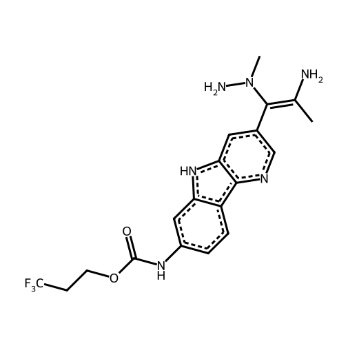 C/C(N)=C(\c1cnc2c(c1)[nH]c1cc(NC(=O)OCCC(F)(F)F)ccc12)N(C)N